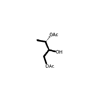 CC(=O)OCC(O)[C@H](C)OC(C)=O